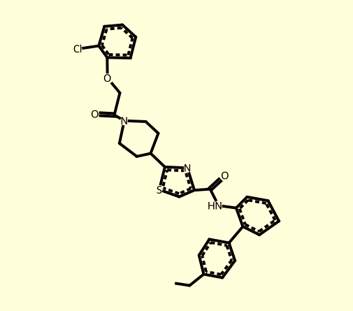 CCc1ccc(-c2ccccc2NC(=O)c2csc(C3CCN(C(=O)COc4ccccc4Cl)CC3)n2)cc1